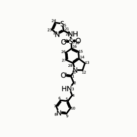 O=C(CNCc1ccncc1)N1CCc2cc(S(=O)(=O)Nc3nccs3)ccc21